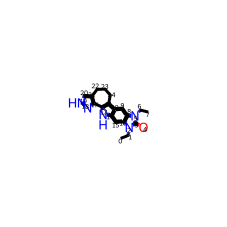 CCn1c(=O)n(CC)c2cc3c4c([nH]c3cc21)-c1n[nH]cc1CCC4